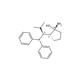 B[C@@]1(O)CCC[C@@H]1[C@H](C(C)C)P(c1ccccc1)c1ccccc1